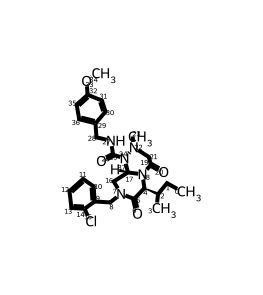 CCC(C)[C@H]1C(=O)N(Cc2ccccc2Cl)C[C@H]2N1C(=O)CN(C)N2C(=O)NCc1ccc(OC)cc1